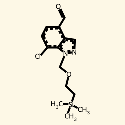 C[Si](C)(C)CCOCn1ncc2c(C=O)ccc(Cl)c21